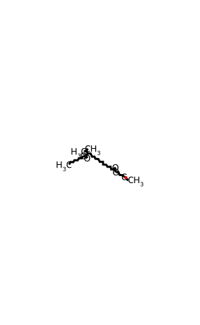 CCCCCCCOC(=O)CCCCCCCCCCCCC(C(=O)OCCCCCCC)C(C)C